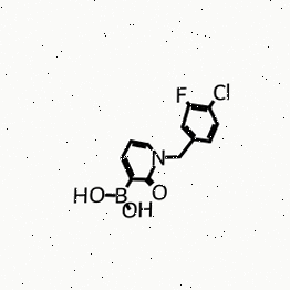 O=c1c(B(O)O)cccn1Cc1ccc(Cl)c(F)c1